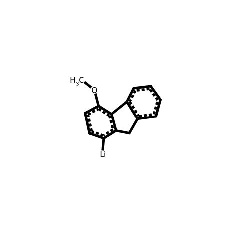 [Li][c]1ccc(OC)c2c1Cc1ccccc1-2